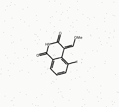 COC=C1C(=O)NC(=O)c2cccc(I)c21